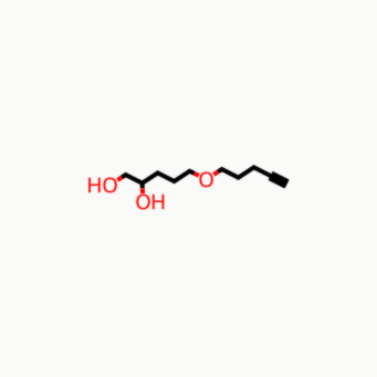 C#CCCCOCCCC(O)CO